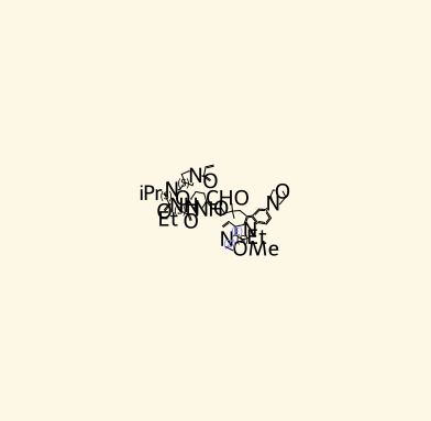 C=CC(=O)N1CC[C@H](C(=O)N(C)[C@H](C(=O)N[C@@H](CC)C(=O)N2CCCC(C=O)(COCC(C)(C)Cc3c(/C(C=C)=C(/N=C\C)[C@H](C)OC)n(CC)c4ccc(N5CCOCC5)cc34)N2)C(C)C)C1